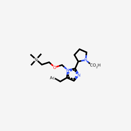 CC(=O)Cc1cnc(C2CCCN2C(=O)O)n1COCC[Si](C)(C)C